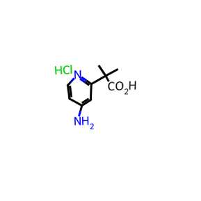 CC(C)(C(=O)O)c1cc(N)ccn1.Cl